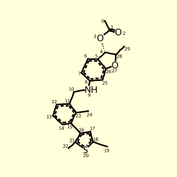 CC(=O)O[C@H]1c2ccc(NCc3cccc(-c4cc(C)sc4C)c3C)cc2OC1C